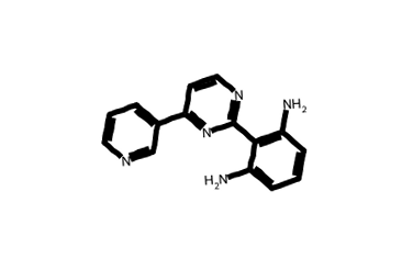 Nc1cccc(N)c1-c1nccc(-c2cccnc2)n1